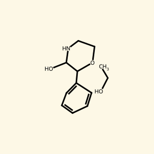 CCO.OC1NCCOC1c1ccccc1